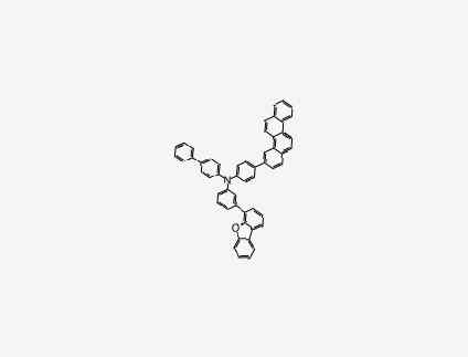 c1ccc(-c2ccc(N(c3ccc(-c4ccc5ccc6c7ccccc7ccc6c5c4)cc3)c3cccc(-c4cccc5c4oc4ccccc45)c3)cc2)cc1